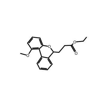 CCOC(=O)CCC1Oc2cccc(OC)c2-c2ccccc21